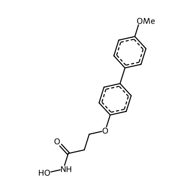 COc1ccc(-c2ccc(OCCC(=O)NO)cc2)cc1